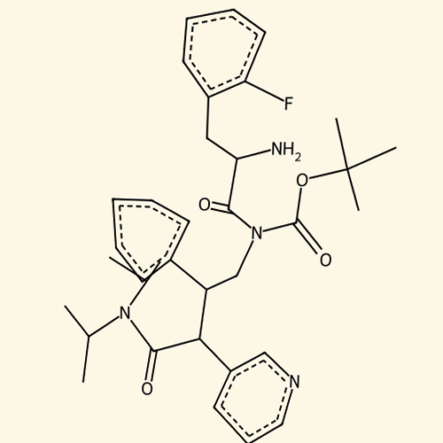 CC(C)N(C(=O)C(c1cccnc1)C(CN(C(=O)OC(C)(C)C)C(=O)C(N)Cc1ccccc1F)c1ccccc1)C(C)C